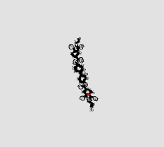 C=CCN1C(=O)c2ccc(C(=O)Oc3ccc(-c4ccc(OC(=O)c5ccc6c(c5)C(=O)N(CC=C)C6=O)cc4)cc3)cc2C1=O